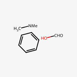 CNC.O=CO.c1ccccc1